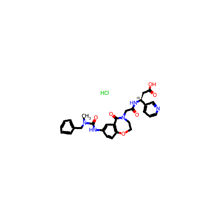 CN(Cc1ccccc1)C(=O)Nc1ccc2c(c1)C(=O)N(CC(=O)N[C@@H](CC(=O)O)c1cccnc1)CCO2.Cl